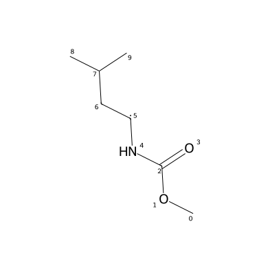 COC(=O)N[CH]CC(C)C